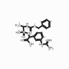 CC(NC(=O)OCc1ccccc1)P(=O)(O)OC(C(=O)O)c1cccc(NC(=N)N)c1